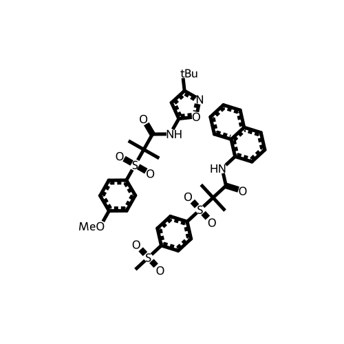 CC(C)(C(=O)Nc1cccc2ccccc12)S(=O)(=O)c1ccc(S(C)(=O)=O)cc1.COc1ccc(S(=O)(=O)C(C)(C)C(=O)Nc2cc(C(C)(C)C)no2)cc1